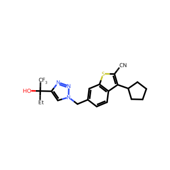 CCC(O)(c1cn(Cc2ccc3c(C4CCCC4)c(C#N)sc3c2)nn1)C(F)(F)F